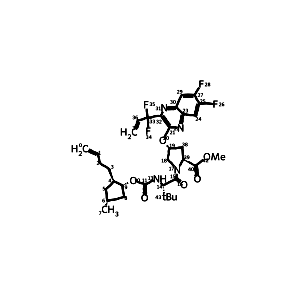 C=CCC[C@@H]1C[C@@H](C)C[C@H]1OC(=O)N[C@H](C(=O)N1C[C@H](Oc2nc3cc(F)c(F)cc3nc2C(F)(F)C=C)C[C@H]1C(=O)OC)C(C)(C)C